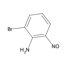 Nc1c(Br)cccc1N=O